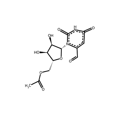 CC(=O)OC[C@H]1O[C@@H](n2c(C=O)cc(=O)[nH]c2=O)[C@H](O)[C@@H]1O